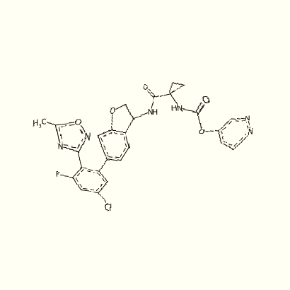 Cc1nc(-c2c(F)cc(Cl)cc2-c2ccc3c(c2)OCC3NC(=O)C2(NC(=O)Oc3ccnnc3)CC2)no1